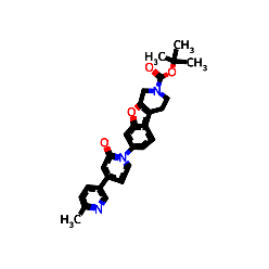 Cc1ccc(-c2ccn(-c3ccc4c5c(oc4c3)CN(C(=O)OC(C)(C)C)CC5)c(=O)c2)cn1